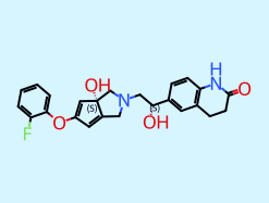 O=C1CCc2cc([C@H](O)CN3CC4=CC(Oc5ccccc5F)=C[C@@]4(O)C3)ccc2N1